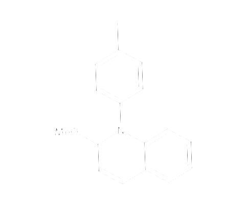 COC1C=Cc2ccccc2N1c1ccc(C)cc1